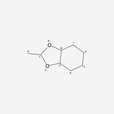 CC1OC2CCCCC2O1